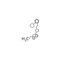 CCCC(=O)CC(=O)C1CCC(CCc2ccccc2C2CCCCC2)C1